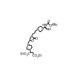 CCOC(=O)CC(C(=O)OCC)N1CCN(CC2CN(CCCN3CCN(C(=N)NC(=O)OC(C)(C)C)CC3)C(=O)O2)CC1